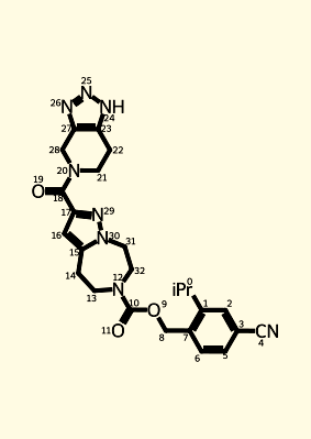 CC(C)c1cc(C#N)ccc1COC(=O)N1CCc2cc(C(=O)N3CCc4[nH]nnc4C3)nn2CC1